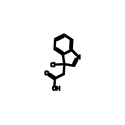 O=C(O)CC1(Cl)C=Nc2ccccc21